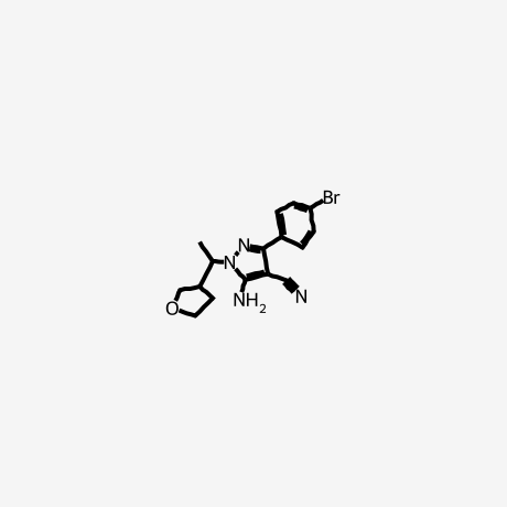 CC(C1CCOC1)n1nc(-c2ccc(Br)cc2)c(C#N)c1N